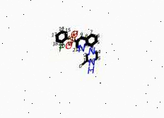 CC1CN(c2cccc3cc(S(=O)(=O)c4ccccc4F)cnc23)CCN1